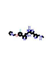 CCNCc1cncc(-c2cnc3[nH]nc(-c4cc5c(-c6cc(F)cc(OCCN7CCCC7)c6)cncc5[nH]4)c3c2)c1